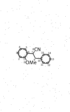 COc1ccccc1C(C#N)Cc1ccccc1